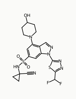 N#CC1(NS(=O)(=O)c2cc(N3CCC(O)CC3)c3cnn(-c4nnc(C(F)F)s4)c3c2)CC1